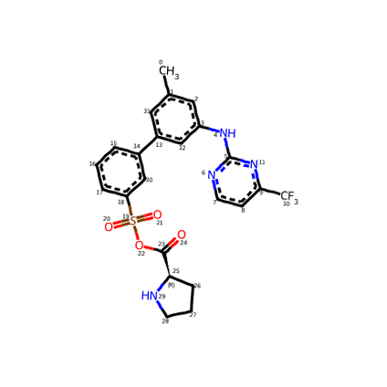 Cc1cc(Nc2nccc(C(F)(F)F)n2)cc(-c2cccc(S(=O)(=O)OC(=O)[C@H]3CCCN3)c2)c1